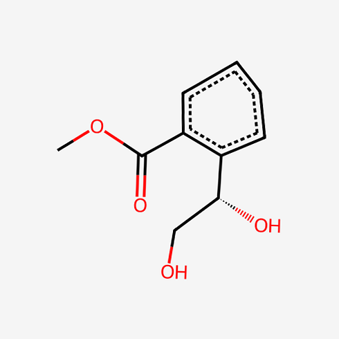 COC(=O)c1ccccc1[C@H](O)CO